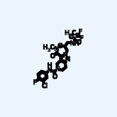 CN1OC(CNS(=O)(=O)C(C)(F)F)Cn2nc3c(c2C1=O)CN(C(=O)Nc1ccc(F)c(Cl)c1)CC3